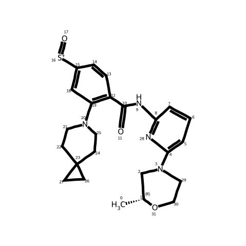 C[C@@H]1CN(c2cccc(NC(=O)c3ccc([S+]=O)cc3N3CCC4(CC3)CC4)n2)CCO1